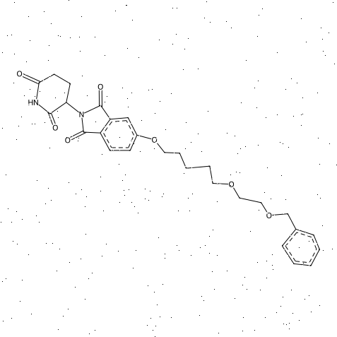 O=C1CCC(N2C(=O)c3ccc(OCCCCCOCCOCc4ccccc4)cc3C2=O)C(=O)N1